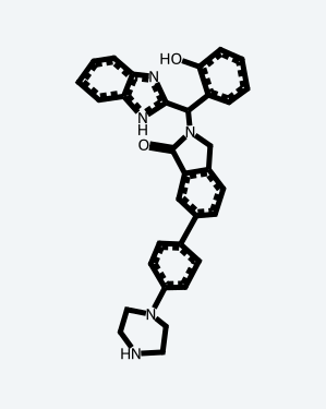 O=C1c2cc(-c3ccc(N4CCNCC4)cc3)ccc2CN1C(c1nc2ccccc2[nH]1)c1ccccc1O